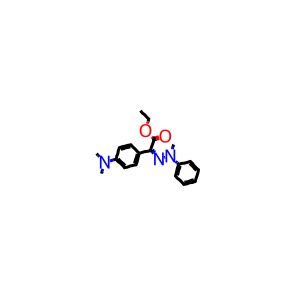 CCOC(=O)/C(=N\N(C)c1ccccc1)c1ccc(N(C)C)cc1